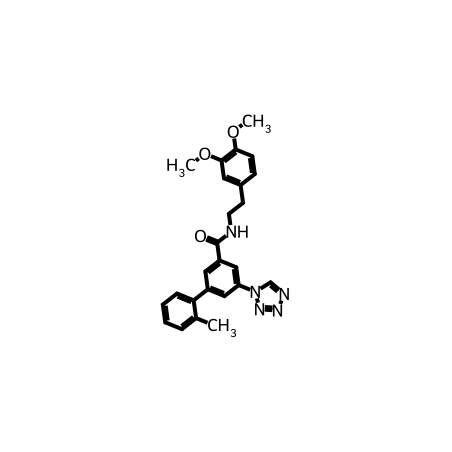 COc1ccc(CCNC(=O)c2cc(-c3ccccc3C)cc(-n3cnnn3)c2)cc1OC